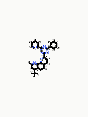 Cc1cc(C(C)(C)C)c2ccc3ccc(-c4nc(-c5ccccc5)nc(-c5ccccn5)n4)nc3c2n1